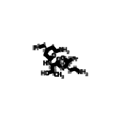 CC(C)C[C@H](CCN)CC(=O)N[C@H](C(=O)N[C@@H](CCN)C(=O)C(C)C)[C@H](C)O